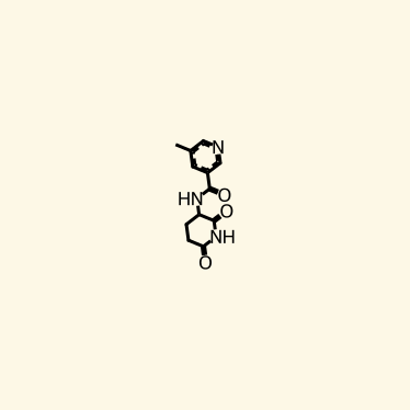 Cc1cncc(C(=O)NC2CCC(=O)NC2=O)c1